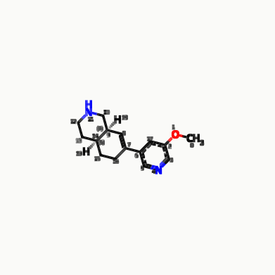 COc1cncc(C2=C[C@@H]3CNCC[C@@H]3CC2)c1